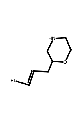 CCC=CCC1CNCCO1